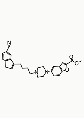 COC(=O)c1cc2cc(N3CCN(CCCCC4=CCc5ccc(C#N)cc54)CC3)ccc2o1